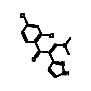 CN(C)C=C(C(=O)c1ccc(Cl)cc1Cl)c1cc[nH]n1